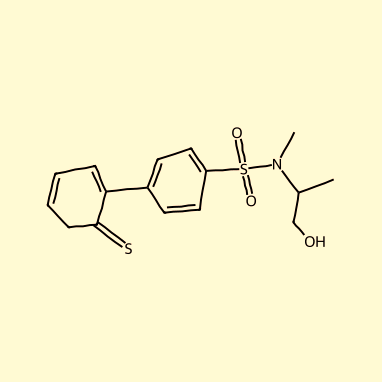 CC(CO)N(C)S(=O)(=O)c1ccc(C2=CC=CCC2=S)cc1